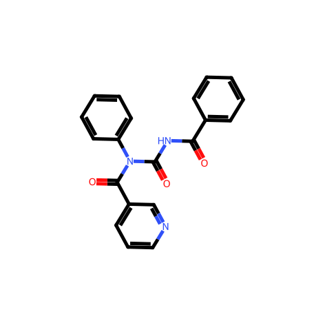 O=C(NC(=O)N(C(=O)c1cccnc1)c1ccccc1)c1ccccc1